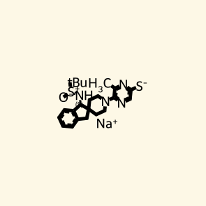 Cc1nc([S-])cnc1N1CCC2(CC1)Cc1ccccc1[C@H]2N[S+]([O-])C(C)(C)C.[Na+]